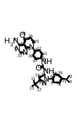 CC(C)c1ccc(-n2nc(C(C)(C)C)cc2NC(=O)Nc2ccc(-n3ccc(=O)c4c(N)ncnc43)cc2)cc1